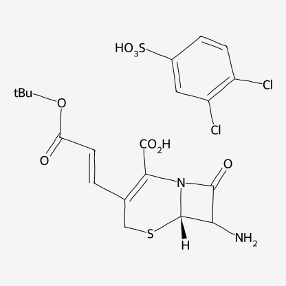 CC(C)(C)OC(=O)C=CC1=C(C(=O)O)N2C(=O)C(N)[C@@H]2SC1.O=S(=O)(O)c1ccc(Cl)c(Cl)c1